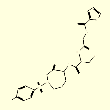 CC(C)C[C@H](NC(=O)CNC(=O)c1ccco1)C(=O)NC1CCCN(S(=O)(=O)c2ccc(F)cc2)CC1=O